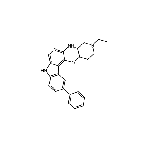 CCN1CCC(Oc2c(N)ncc3[nH]c4ncc(-c5ccccc5)cc4c23)CC1